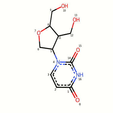 O=c1ccn(C2COC(CO)C2CO)c(=O)[nH]1